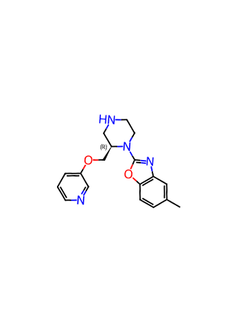 Cc1ccc2oc(N3CCNC[C@@H]3COc3cccnc3)nc2c1